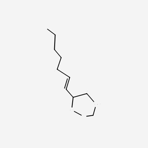 CCCCCC=CC1COCOO1